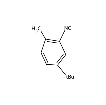 [C-]#[N+]c1cc(C(C)(C)C)ccc1C